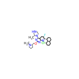 CC1CNCCN1c1nc(OCC2CCCN2C)nc2nc(-c3cccc4cccc(Cl)c34)c(F)cc12